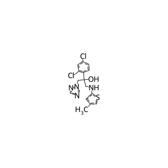 Cc1csc(NCC(O)(Cn2cncn2)c2ccc(Cl)cc2Cl)c1